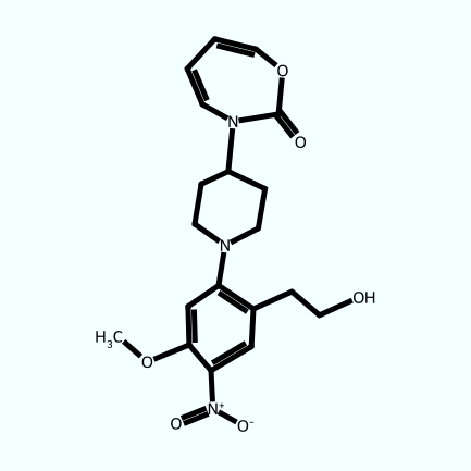 COc1cc(N2CCC(N3C=CC=COC3=O)CC2)c(CCO)cc1[N+](=O)[O-]